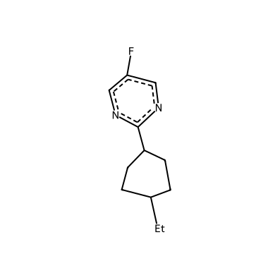 [CH2]CC1CCC(c2ncc(F)cn2)CC1